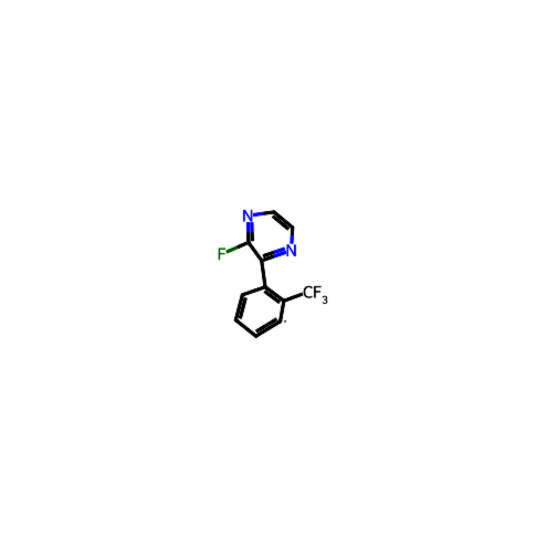 Fc1nccnc1-c1ccc[c]c1C(F)(F)F